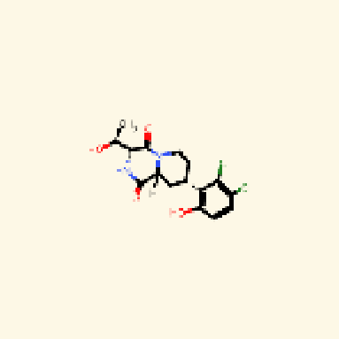 C[C@H](O)[C@H]1NC(=O)[C@H]2C[C@@H](c3c(O)ccc(Cl)c3Cl)CCN2C1=O